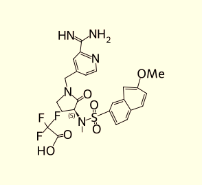 COc1ccc2ccc(S(=O)(=O)N(C)[C@H]3CCN(Cc4ccnc(C(=N)N)c4)C3=O)cc2c1.O=C(O)C(F)(F)F